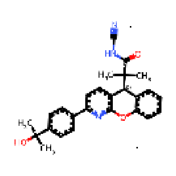 CC(C)(O)c1ccc(-c2ccc3c(n2)Oc2ccccc2[C@@H]3C(C)(C)C(=O)NC#N)cc1